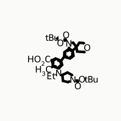 CCN(c1cc(-c2ccc3c(c2)N(C(=O)OC(C)(C)C)CC32CCOCC2)cc(C(=O)O)c1C)C1CCN(C(=O)OC(C)(C)C)CC1